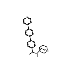 CC(NC1CN2CCC1CC2)c1ccc(-c2ccc(-c3ccncc3)cc2)cc1